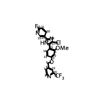 COc1cc(OCc2ccnc(C(F)(F)F)c2)ccc1-c1[nH]c(-c2ccc(F)nc2)nc1Cl